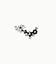 CC(C)(C)OC(=O)N1CC(c2nc3c(oc4ccc(Br)cc43)c(=O)[nH]2)C1